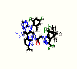 CC(C)c1ccc(-c2c([C@H](Cc3cc(F)cc(F)c3)NC(=O)Cn3nc(C(F)F)c4c3C(F)(F)[C@@H]3[C@H](C)[C@H]43)nc3ncnn3c2N)cn1